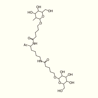 CC(=O)C(CCCCNC(=O)CCCCOC1OC(CO)C(O)C(O)C1O)NC(=O)CCCCOC1OC(CO)C(O)C(O)C1C